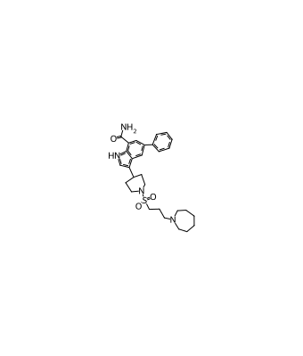 NC(=O)c1cc(-c2ccccc2)cc2c(C3CCN(S(=O)(=O)CCCN4CCCCCC4)CC3)c[nH]c12